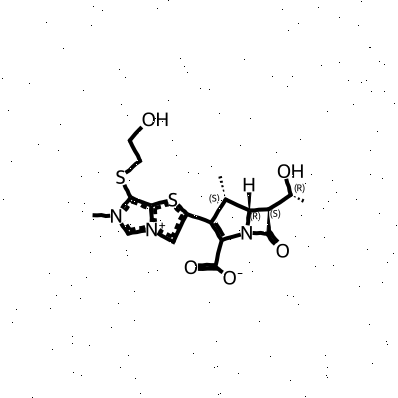 C[C@@H](O)[C@H]1C(=O)N2C(C(=O)[O-])=C(c3c[n+]4cn(C)c(SCCO)c4s3)[C@H](C)[C@H]12